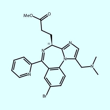 COC(=O)CC[C@@H]1N=C(c2ccccn2)c2cc(Br)ccc2-n2c(CN(C)C)cnc21